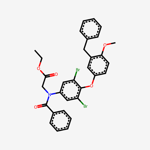 CCOC(=O)CN(C(=O)c1ccccc1)c1cc(Br)c(Oc2ccc(OC)c(Cc3ccccc3)c2)c(Br)c1